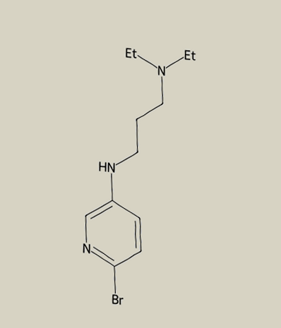 CCN(CC)CCCNc1ccc(Br)nc1